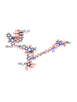 COc1cc2c(cc1OCCCCCOc1cc3c(cc1OC)C(=O)N1CC4(CC4)C[C@H]1[C@H](O)N3C(=O)OCc1ccc(O[C@@H]3O[C@H](C(=O)O)[C@@H](O)[C@H](O)[C@H]3O)c(NC(=O)CCOCCOCCOCCOCCNC(=O)OCC[C@H](CNC(=O)OC(C)(C)C)N3C(=O)C=CC3=O)c1)N(C(=O)OCc1ccc(O[C@@H]3O[C@H](C(=O)O)[C@@H](O)[C@H](O)[C@H]3O)cc1)[C@@H](O)[C@@H]1Cc3ccccc3CN1C2=O